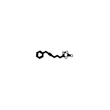 O=c1onc(CCCC#CCc2ccccc2)o1